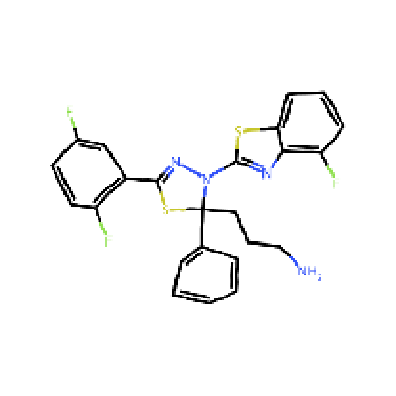 NCCCC1(c2ccccc2)SC(c2cc(F)ccc2F)=NN1c1nc2c(F)cccc2s1